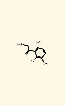 CNCC(=O)c1cccc(O)c1O.Cl